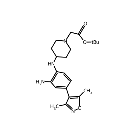 Cc1noc(C)c1-c1ccc(NC2CCN(CC(=O)OC(C)(C)C)CC2)c(N)c1